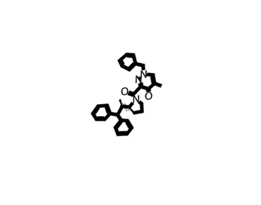 Cc1cn(Cc2ccccc2)nc(C(=O)N2CCC[C@H]2[C@H](C)C(c2ccccc2)c2ccccc2)c1=O